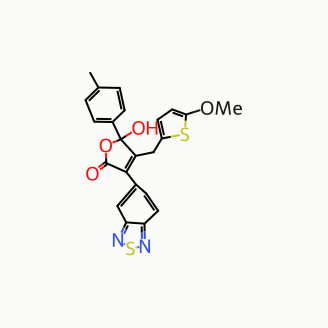 COc1ccc(CC2=C(c3ccc4nsnc4c3)C(=O)OC2(O)c2ccc(C)cc2)s1